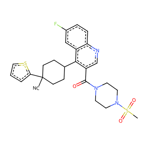 CS(=O)(=O)N1CCN(C(=O)c2cnc3ccc(F)cc3c2C2CCC(C#N)(c3cccs3)CC2)CC1